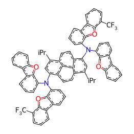 CC(C)c1cc(N(c2cccc3c2oc2ccccc23)c2cccc3c2oc2c(C(F)(F)F)cccc23)c2ccc3c(C(C)C)cc(N(c4cccc5c4oc4ccccc45)c4cccc5c4oc4c(C(F)(F)F)cccc45)c4ccc1c2c34